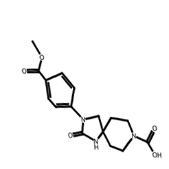 COC(=O)c1ccc(N2CC3(CCN(C(=O)O)CC3)NC2=O)cc1